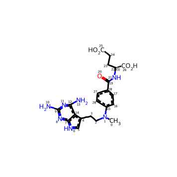 CN(CCc1c[nH]c2nc(N)nc(N)c12)c1ccc(C(=O)N[C@@H](CCC(=O)O)C(=O)O)cc1